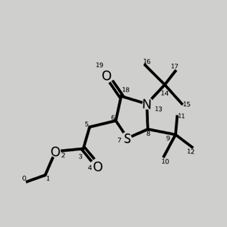 CCOC(=O)CC1SC(C(C)(C)C)N(C(C)(C)C)C1=O